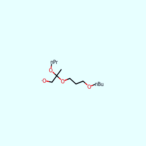 CCCCOCCCOC(C)(C[O])OCCC